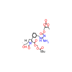 Cc1oc(=O)oc1COC(=O)/N=C(/N)NCc1cccc(C2=C(C(=O)OCOC(=O)C(C)(C)C)N3C(=O)[C@H]([C@@H](C)O)[C@H]3C2)c1